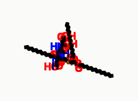 CCCCCCCCCCCCCCCC(=O)OC[C@H](CSCCC(=O)N[C@@](CCC(=O)O)(NC(=O)CCCCCCCCCCCCC)C(=O)NCC(=O)NC(CCC(=O)O)C(=O)O)OC(=O)CCCCCCCCCCCCCCC